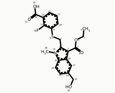 CCOC(=O)c1c(CSc2cccc(C(=O)O)c2F)n(C)c2ccc(CO)cc12